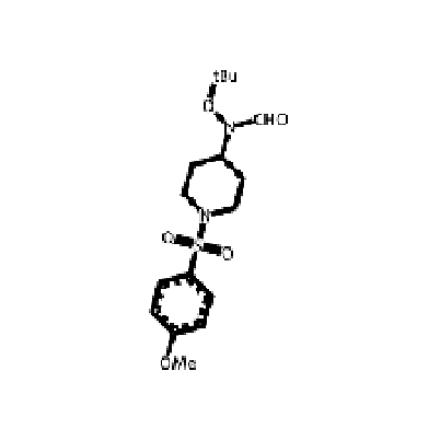 COc1ccc(S(=O)(=O)N2CCC(N(C=O)OC(C)(C)C)CC2)cc1